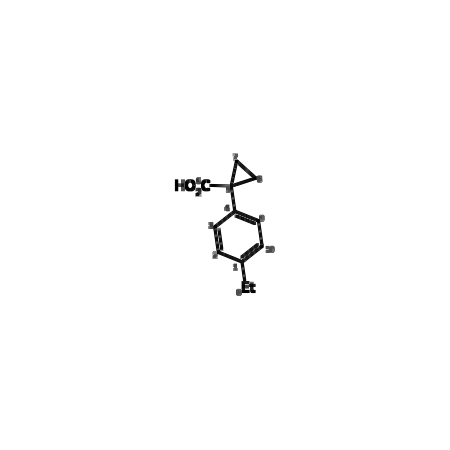 CCc1ccc(C2(C(=O)O)CC2)cc1